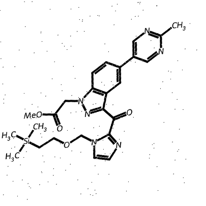 COC(=O)Cn1nc(C(=O)c2nccn2COCC[Si](C)(C)C)c2cc(-c3cnc(C)nc3)ccc21